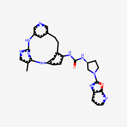 Cc1cnc2nc1Nc1ccc(NC(=O)N[C@H]3CCN(c4nc5cccnc5o4)C3)c(c1)CCc1cncc(c1)N2